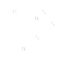 CN(C)c1cc(O)n2ncnc2n1